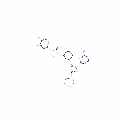 Nc1nccc(-c2nc(N3CCOCC3)sc2-c2cccc(N3CCN(c4ccc(Cl)c(Cl)c4)C3=O)c2)n1